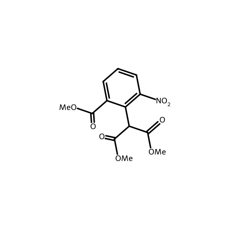 COC(=O)c1cccc([N+](=O)[O-])c1C(C(=O)OC)C(=O)OC